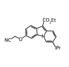 CCOC(=O)c1c2ccc(OCC#N)cc2n2cc(C(C)C)ccc12